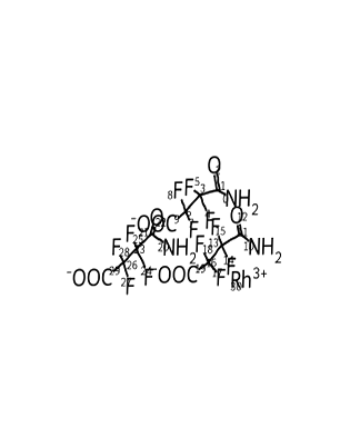 NC(=O)C(F)(F)C(F)(F)C(=O)[O-].NC(=O)C(F)(F)C(F)(F)C(=O)[O-].NC(=O)C(F)(F)C(F)(F)C(=O)[O-].[Rh+3]